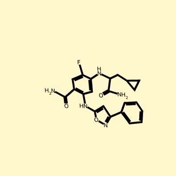 NC(=O)c1cc(F)c(NC(CC2CC2)C(N)=O)cc1Nc1cc(-c2ccccc2)no1